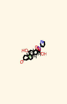 C[C@]12C=CC(=O)C=C1CC[C@H]1[C@@H]3C[C@H]4CN(c5cccnc5)O[C@@]4(C(=O)CO)[C@@]3(C)C[C@H](O)[C@@]12F